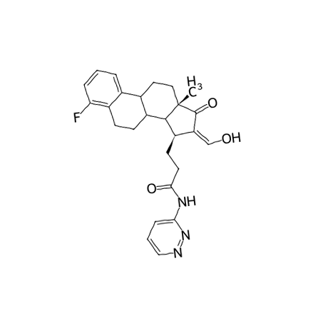 C[C@]12CCC3c4cccc(F)c4CCC3C1[C@H](CCC(=O)Nc1cccnn1)/C(=C/O)C2=O